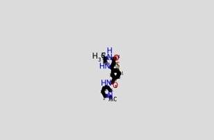 CC(=O)N1CCCC(NC(=O)c2ccc3sc4c(c3c2)NC[C@@H](C)NC4=O)C1